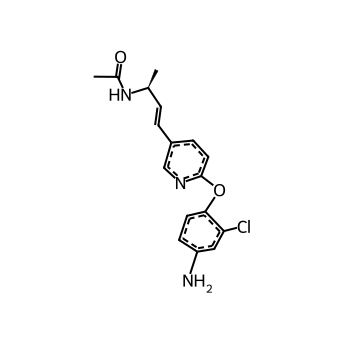 CC(=O)N[C@@H](C)/C=C/c1ccc(Oc2ccc(N)cc2Cl)nc1